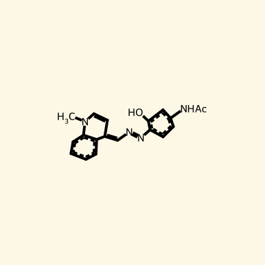 CC(=O)Nc1ccc(N=N/C=C2\C=CN(C)c3ccccc32)c(O)c1